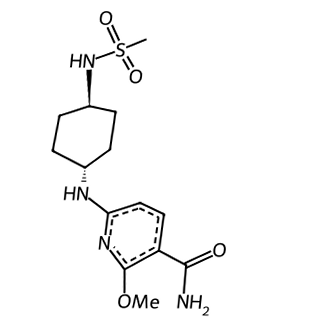 COc1nc(N[C@H]2CC[C@H](NS(C)(=O)=O)CC2)ccc1C(N)=O